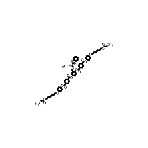 C=CC(=O)OCCCCCCOc1ccc(OC(=O)C2CCC(C(=O)Oc3ccc(OC(=O)C4CCC(C(=O)Oc5ccc(OCCCCCCOC(=O)C=C)cc5)CC4)c(/C=N/N(CCCCCC)c4nc5ccccc5s4)c3)CC2)cc1